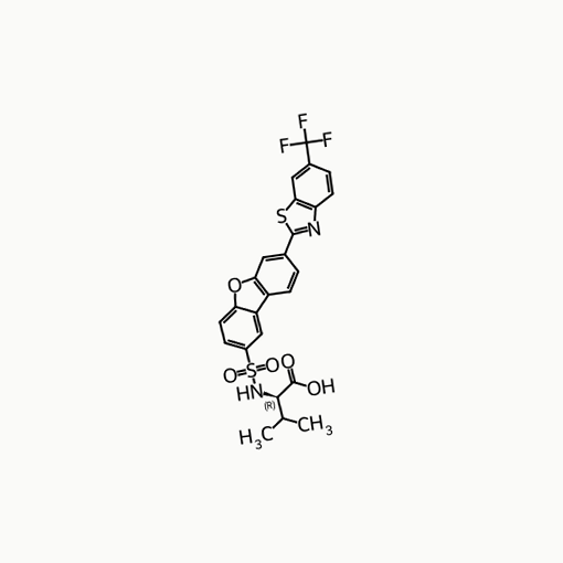 CC(C)[C@@H](NS(=O)(=O)c1ccc2oc3cc(-c4nc5ccc(C(F)(F)F)cc5s4)ccc3c2c1)C(=O)O